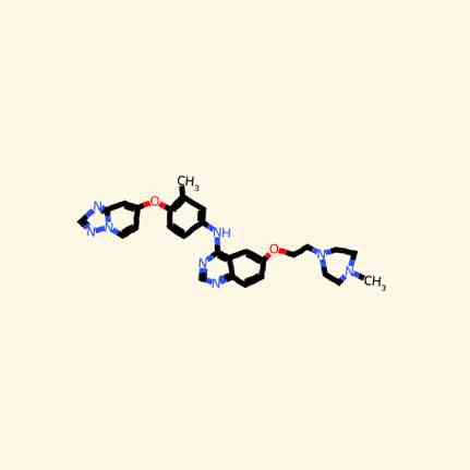 Cc1cc(Nc2ncnc3ccc(OCCN4CCN(C)CC4)cc23)ccc1Oc1ccn2ncnc2c1